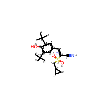 CC(C)(C)c1cc(/C=C(/C#N)S(=O)(=O)CC2CC2)cc(C(C)(C)C)c1O